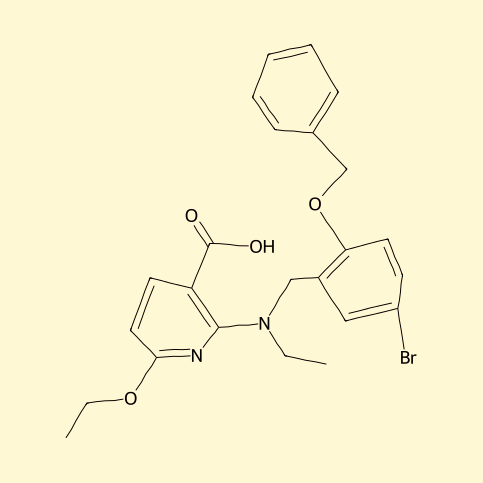 CCOc1ccc(C(=O)O)c(N(CC)Cc2cc(Br)ccc2OCc2ccccc2)n1